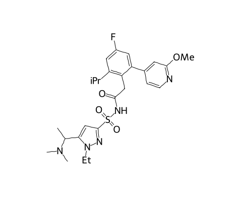 CCn1nc(S(=O)(=O)NC(=O)Cc2c(-c3ccnc(OC)c3)cc(F)cc2C(C)C)cc1C(C)N(C)C